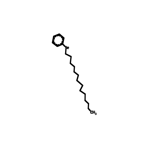 CCCCCCCCCCCCCC[Se]c1ccccc1